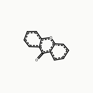 O=c1c2[c][c]ccc2oc2ccccc12